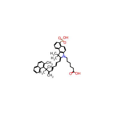 C=C(/C=C/C=C/C=C1/N(CCCCCC(=O)O)c2ccc3c(S(=O)(=O)O)cccc3c2C1(C)C)C(C)(C)c1c(C)ccc2ccccc12